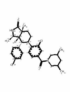 CC1CC(C)CN(C(=O)c2ccc([C@@H]3CC[C@@]4(C)C(=O)N[C@H](C)[C@H]4[C@H]3c3ccc(Cl)cc3)c(Cl)c2)C1